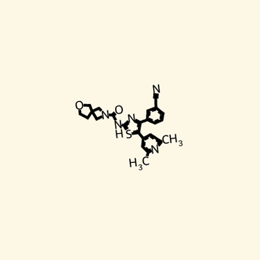 Cc1cc(-c2sc(NC(=O)N3CC4(CCOC4)C3)nc2-c2cccc(C#N)c2)cc(C)n1